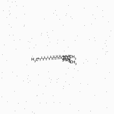 CCCCCCCCCCCCCCCCCCN(CC(CC)CCCC)C(=S)S